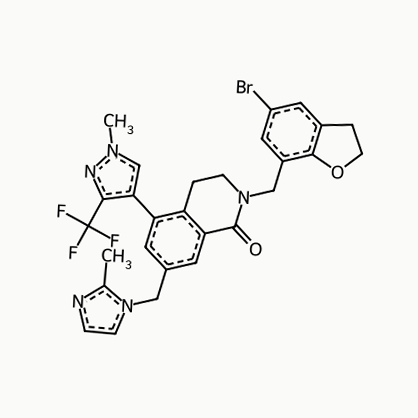 Cc1nccn1Cc1cc2c(c(-c3cn(C)nc3C(F)(F)F)c1)CCN(Cc1cc(Br)cc3c1OCC3)C2=O